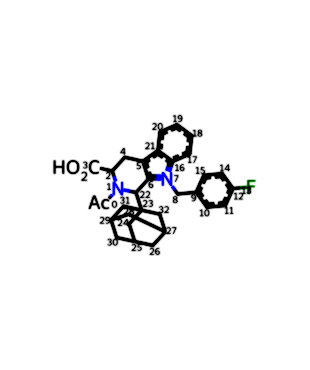 CC(=O)N1C(C(=O)O)Cc2c(n(Cc3ccc(F)cc3)c3ccccc23)C1C12CC3CC(CC(C3)C1)C2